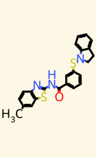 Cc1ccc2nc(NC(=O)c3cccc(SN4CCc5ccccc54)c3)sc2c1